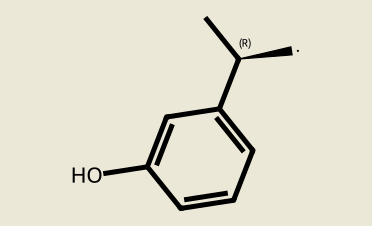 [CH2][C@H](C)c1cccc(O)c1